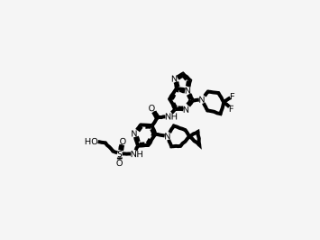 O=C(Nc1cc2nccn2c(N2CCC(F)(F)CC2)n1)c1cnc(NS(=O)(=O)CCO)cc1N1CCC2(CC1)CC2